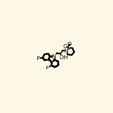 O=S1(=O)CCCCN1CC(O)Cn1c2ccc(F)cc2c2c(F)cccc21